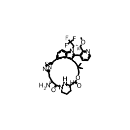 CO[C@@H](C)c1ncccc1-c1c2c3cc(ccc3n1CC(F)(F)F)-c1nc(ns1)C[C@H](N)C(=O)N1CCC[C@H](N1)C(=O)OCC(C)(C)C2